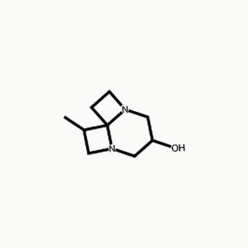 CC1CN2CC(O)CN3CCC132